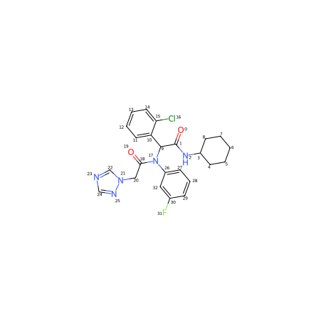 O=C(NC1CCCCC1)C(c1ccccc1Cl)N(C(=O)Cn1cncn1)c1cccc(F)c1